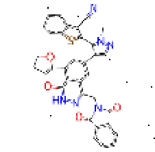 Cn1ncc(-c2cc(C3=CCCO3)c3c(=O)[nH]nc(CN4C(=O)c5ccccc5C4=O)c3c2)c1-c1sc2ccccc2c1C#N